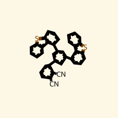 N#Cc1cccc(-c2cc(-c3cccc4sc5ccccc5c34)cc(-c3cccc4sc5ccccc5c34)c2)c1C#N